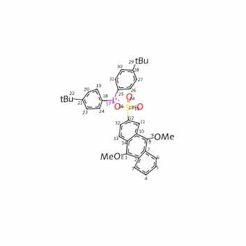 COc1c2ccccc2c(OC)c2cc(S(=O)(=O)O[I+](c3ccc(C(C)(C)C)cc3)c3ccc(C(C)(C)C)cc3)ccc12